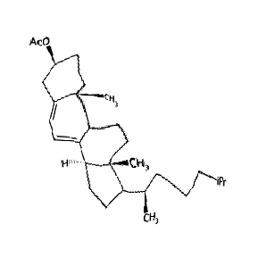 CC(=O)O[C@H]1CC[C@@]2(C)C(=CC=C3C2CC[C@]2(C)C([C@H](C)CCCC(C)C)CC[C@@H]32)C1